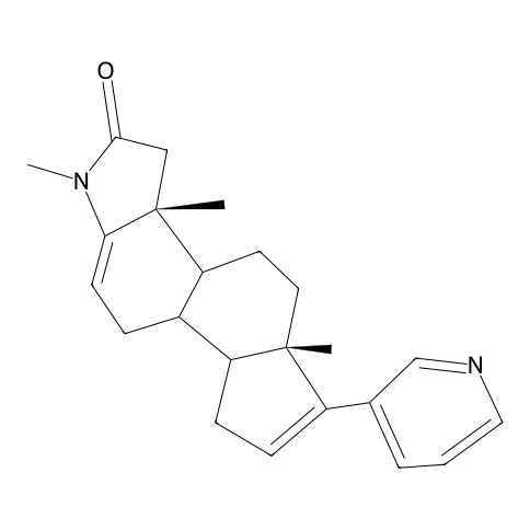 CN1C(=O)C[C@@]2(C)C1=CCC1C2CC[C@]2(C)C(c3cccnc3)=CCC12